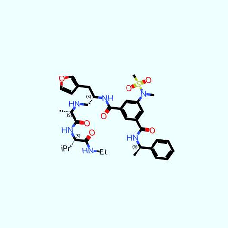 CCNC(=O)[C@@H](NC(=O)[C@H](C)NC[C@H](Cc1ccoc1)NC(=O)c1cc(C(=O)N[C@H](C)c2ccccc2)cc(N(C)S(C)(=O)=O)c1)C(C)C